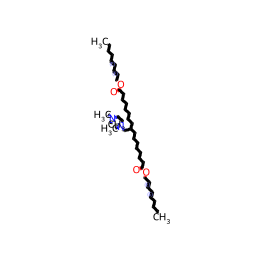 CCCC/C=C/C=C/COC(=O)CCCCCCCC(CCCCCCCC(=O)OC/C=C/C=C/CCCC)CN(C)CCN(C)C